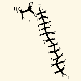 C=C(C)C(=O)OC(F)(C(F)(F)F)C(F)(F)C(F)(F)C(F)(F)C(F)(F)C(F)(F)C(F)(F)C(F)(F)C(F)(F)C(F)(F)C(F)(F)C(F)(F)F